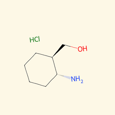 Cl.N[C@@H]1CCCC[C@H]1CO